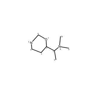 CC(C1CC[N]CO1)N(C)C